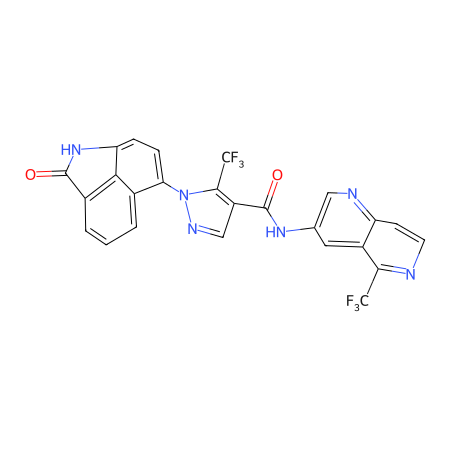 O=C(Nc1cnc2ccnc(C(F)(F)F)c2c1)c1cnn(-c2ccc3c4c(cccc24)C(=O)N3)c1C(F)(F)F